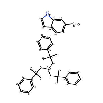 CC(C)([CH2][Sn+]([CH2]C(C)(C)c1ccccc1)[CH2]C(C)(C)c1ccccc1)c1ccccc1.O=C([O-])c1ccc2cc[nH]c2c1